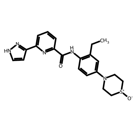 CCc1cc(N2CC[S+]([O-])CC2)ccc1NC(=O)c1cccc(-c2cc[nH]n2)n1